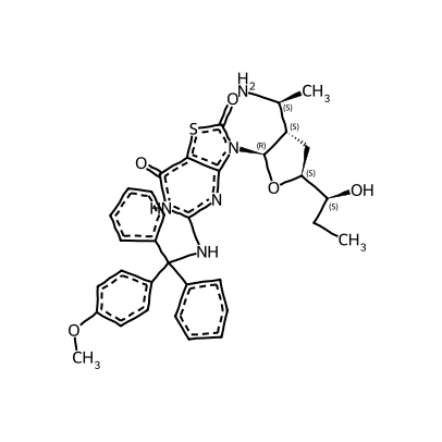 CC[C@H](O)[C@@H]1C[C@@H]([C@H](C)N)[C@H](n2c(=O)sc3c(=O)[nH]c(NC(c4ccccc4)(c4ccccc4)c4ccc(OC)cc4)nc32)O1